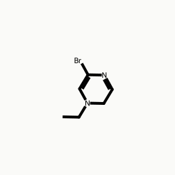 CCN1C=C(Br)N=CC1